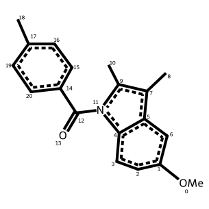 COc1ccc2c(c1)c(C)c(C)n2C(=O)c1ccc(C)cc1